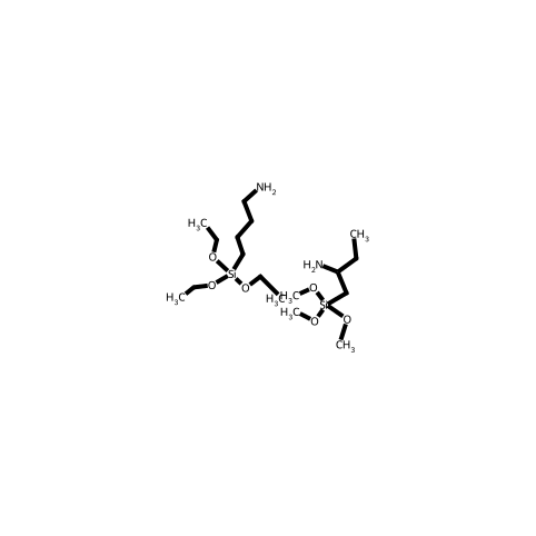 CCC(N)C[Si](OC)(OC)OC.CCO[Si](CCCCN)(OCC)OCC